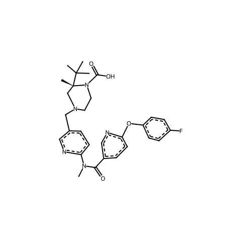 CN(C(=O)c1ccc(Oc2ccc(F)cc2)nc1)c1ccc(CN2CCN(C(=O)O)[C@@](C)(C(C)(C)C)C2)cn1